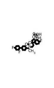 CC(c1ccc(-c2ccc(F)cc2F)cc1)N1CCC(CCOP(=O)(O)O)(c2ccc(F)cc2)OC1=O